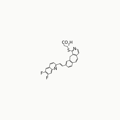 O=C(O)CCSc1nccc2c1Cc1cc(C=Cc3ccc4cc(F)c(F)cc4n3)ccc1C=C2